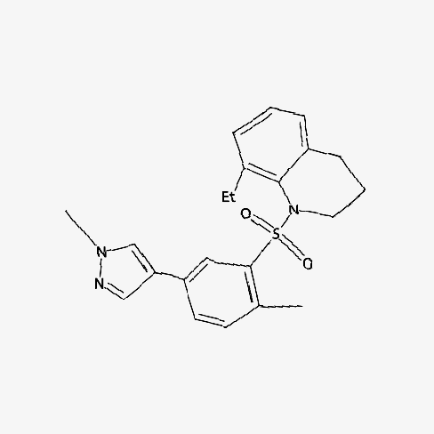 CCc1cccc2c1N(S(=O)(=O)c1cc(-c3cnn(C)c3)ccc1C)CCC2